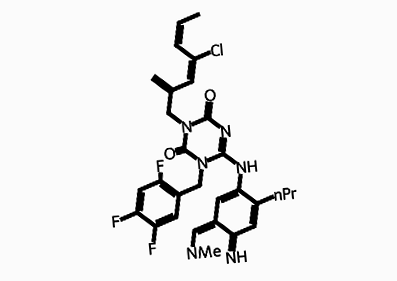 C=C(/C=C(Cl)\C=C/C)Cn1c(=O)nc(NC2=C/C(=C/NC)C(=N)C=C2CCC)n(Cc2cc(F)c(F)cc2F)c1=O